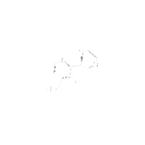 Cc1ccnc(-c2cnccn2)c1Cl